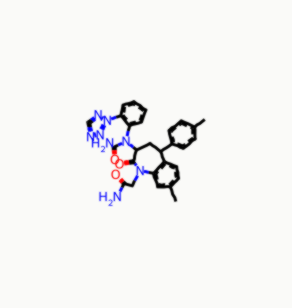 Cc1ccc(C2CC(N(C(N)=O)c3ccccc3-n3ncnn3)C(=O)N(CC(N)=O)c3cc(C)ccc32)cc1